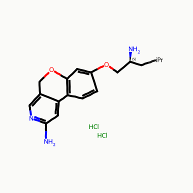 CC(C)C[C@H](N)COc1ccc2c(c1)OCc1cnc(N)cc1-2.Cl.Cl